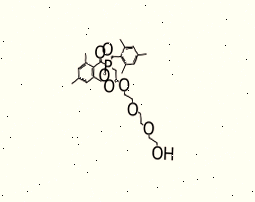 Cc1cc(C)c(C(=O)P(=O)(CC(=O)OCCOCCOCCO)C(=O)c2c(C)cc(C)cc2C)c(C)c1